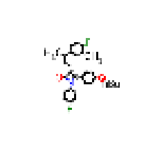 CCCCOc1ccc([C@@H]2[C@@H](CCC(C)C3=CC(C)C(F)C=C3)C(=O)N2c2ccc(F)cc2)cc1